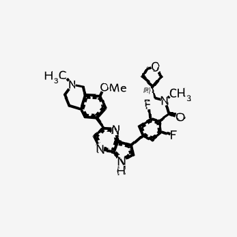 COc1cc(-c2cnc3[nH]cc(-c4cc(F)c(C(=O)N(C)C[C@H]5CCOC5)c(F)c4)c3n2)cc2c1CN(C)CC2